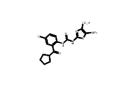 CSc1sc(NC(=O)Nc2ccc(Cl)cc2C(=O)C2CCCC2)nc1C(=O)O